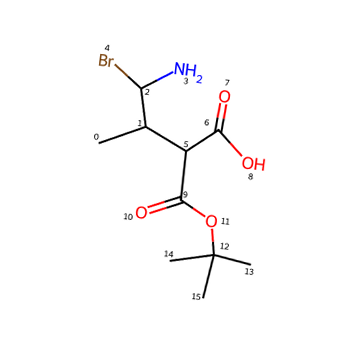 CC(C(N)Br)C(C(=O)O)C(=O)OC(C)(C)C